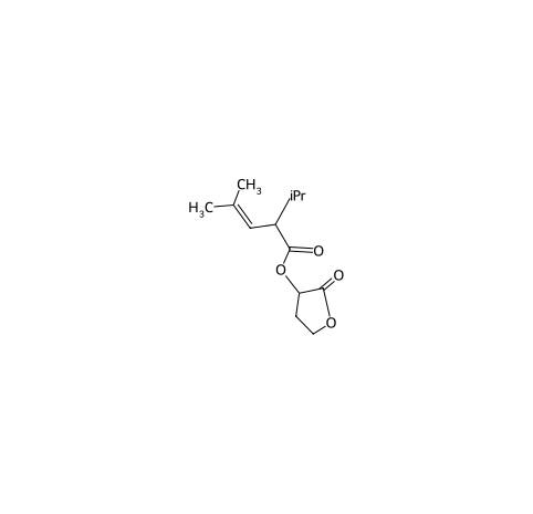 CC(C)=CC(C(=O)OC1CCOC1=O)C(C)C